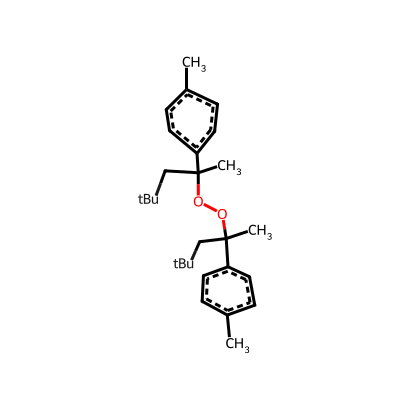 Cc1ccc(C(C)(CC(C)(C)C)OOC(C)(CC(C)(C)C)c2ccc(C)cc2)cc1